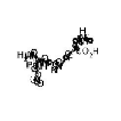 Cc1c(Nc2nc3ccccc3s2)nnc2c1CCCN2c1nc(C(=O)O)c(CCCOc2ccc(C#CCN(CCN(C)C)C(=O)OCc3ccc(NC(=O)[C@H](CCCNC(N)=O)NC(=O)[C@@H](NC(=O)CCOCCN4C(=O)C=CC4=O)C(C)C)cc3)cc2F)s1